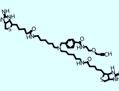 C#CCOCCNC(=O)c1ccc(CN(CCCCCCNC(=O)CCCCC2SCC3NC(=N)NC32)CCCCCCNC(=O)CCCCC2SCC3NC(=N)NC32)cc1